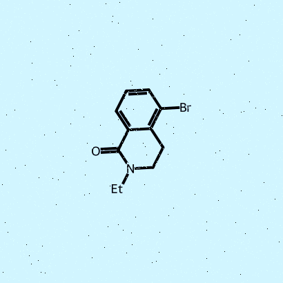 CCN1CCc2c(Br)cccc2C1=O